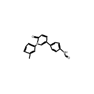 Cc1cccc(-n2cc(-c3ccc(NC=O)cc3)ccc2=O)c1